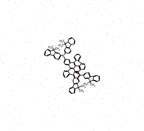 CC1(C)C2=C(CCC(N(c3ccc4c(c3)C(C)(C)c3ccccc3-4)c3ccc4c(-c5ccccc5-c5ccccc5)c5cc(N(c6ccc7c(c6)C(C)(C)c6ccccc6-7)c6ccc7c(c6)C(C)(C)C6C=CC=CC76)ccc5c(-c5ccccc5-c5ccccc5)c4c3)=C2)c2ccccc21